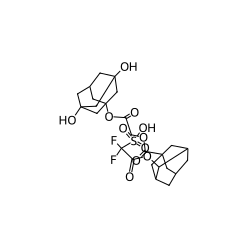 O=C(COC(=O)C12CC3CC(C1)C(OC(=O)C(F)(F)S(=O)(=O)O)C(C3)C2)OC12CC3CC(O)(CC(O)(C3)C1)C2